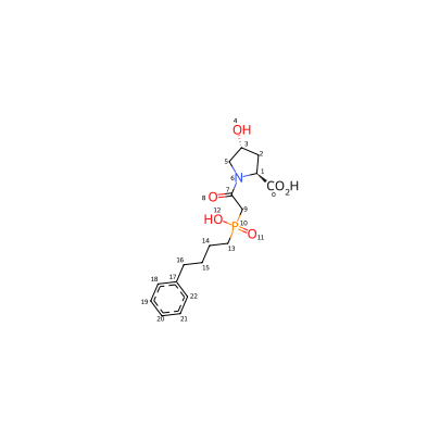 O=C(O)[C@@H]1C[C@@H](O)CN1C(=O)CP(=O)(O)CCCCc1ccccc1